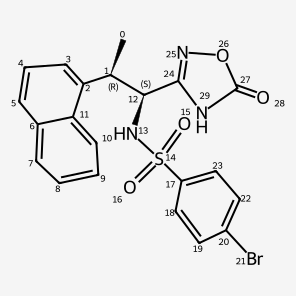 C[C@H](c1cccc2ccccc12)[C@H](NS(=O)(=O)c1ccc(Br)cc1)c1noc(=O)[nH]1